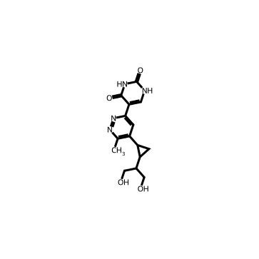 Cc1nnc(-c2c[nH]c(=O)[nH]c2=O)cc1C1CC1C(CO)CO